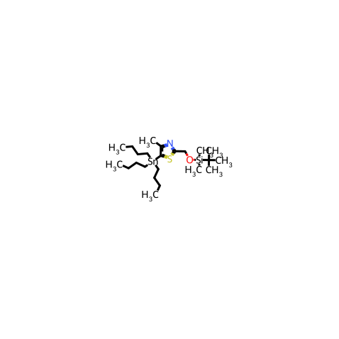 CCC[CH2][Sn]([CH2]CCC)([CH2]CCC)[c]1sc(CO[Si](C)(C)C(C)(C)C)nc1C